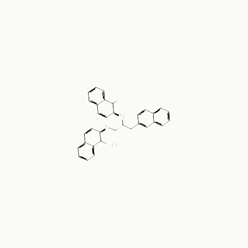 OC1C(=NC[C@H](Cc2ccc3ccccc3c2)N=C2C=Cc3ccccc3C2O)C=Cc2ccccc21